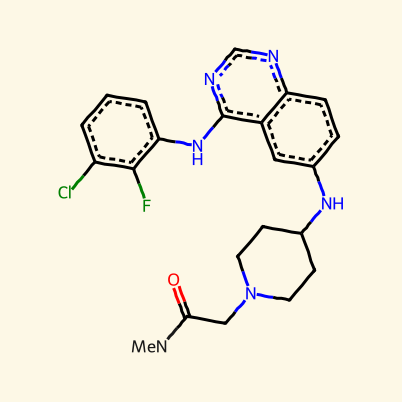 CNC(=O)CN1CCC(Nc2ccc3ncnc(Nc4cccc(Cl)c4F)c3c2)CC1